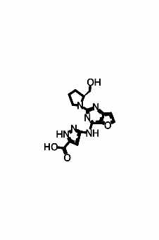 O=C(O)c1cc(Nc2nc(N3CCC[C@H]3CO)nc3ccoc23)n[nH]1